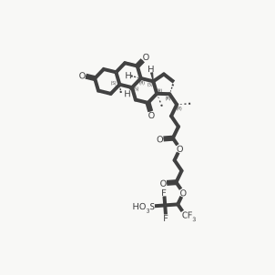 C[C@H](CCC(=O)OCCC(=O)OC(C(F)(F)F)C(F)(F)S(=O)(=O)O)[C@H]1CC[C@H]2[C@@H]3C(=O)CC4CC(=O)CC[C@]4(C)[C@H]3CC(=O)[C@]12C